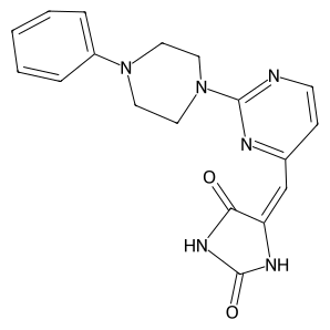 O=C1NC(=O)/C(=C\c2ccnc(N3CCN(c4ccccc4)CC3)n2)N1